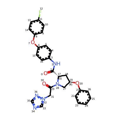 O=C(Nc1ccc(Oc2ccc(F)cc2)cc1)[C@@H]1C[C@@H](Oc2ccccc2)CN1C(=O)Cn1cncn1